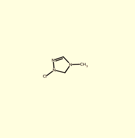 CN1C=NN(Cl)C1